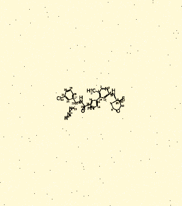 Cc1cnc(N[C@@H]2CCOC[C@@H]2F)cc1-c1c[nH]c(C(=O)N[C@H](CN=[N+]=[N-])c2cccc(Cl)c2)c1